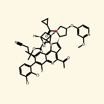 COc1cc(O[C@H]2C[C@H](c3cc4c(C(C)=O)nc5c(F)c(-c6cccc(Cl)c6Cl)c(CCC#N)cc5c4n3[C@H]3[C@@H]4C[C@H]3N(C(=O)OC(C)(C)C)C4)N(C(=O)C3CC3)C2)ccn1